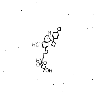 CC(C)(O)CS(=O)(=O)NCCOc1ccc2c(c1)C(C1(c3ccc(Cl)cc3)CCC1)NCC2.Cl